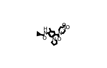 Cc1cc(C(=O)N2CCS(=O)(=O)CC2)c(N2CCCC2)cc1NC(=O)C1CC1